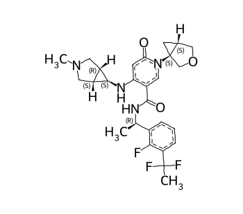 C[C@@H](NC(=O)c1cn([C@]23COC[C@H]2C3)c(=O)cc1N[C@H]1[C@@H]2CN(C)C[C@@H]21)c1cccc(C(C)(F)F)c1F